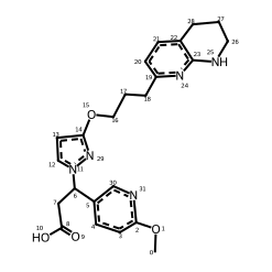 COc1ccc(C(CC(=O)O)n2ccc(OCCCc3ccc4c(n3)NCCC4)n2)cn1